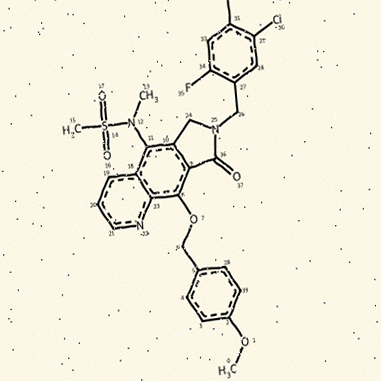 COc1ccc(COc2c3c(c(N(C)S(C)(=O)=O)c4cccnc24)CN(Cc2cc(Cl)c(F)cc2F)C3=O)cc1